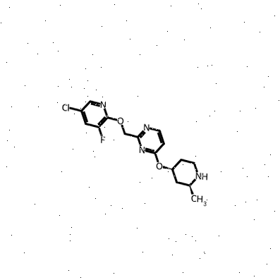 C[C@H]1C[C@@H](Oc2ccnc(COc3ncc(Cl)cc3F)n2)CCN1